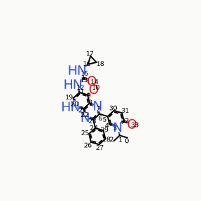 CC(C)n1cc(-c2nc3c(=O)c(NC(=O)NC4CC4)c[nH]c3nc2-c2ccccc2)ccc1=O